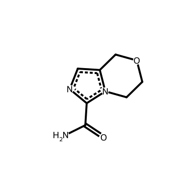 NC(=O)c1ncc2n1CCOC2